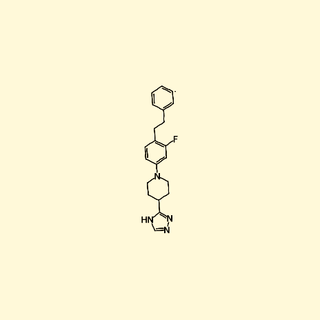 Fc1cc(N2CCC(c3nnc[nH]3)CC2)ccc1CCc1c[c]ccc1